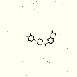 COc1cc(N2CCN(C(=O)c3ccc4c(c3)NC(=O)CO4)CC2)cc(OC)c1OC